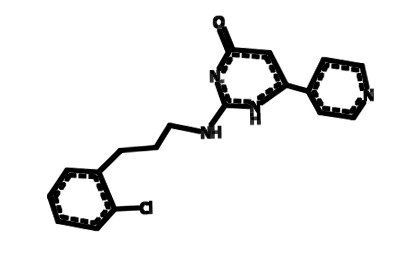 O=c1cc(-c2ccncc2)[nH]c(NCCCc2ccccc2Cl)n1